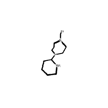 CCN1CCN(C2CCCCN2)CC1